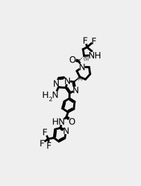 Nc1nccn2c([C@@H]3CCCN(C(=O)[C@@H]4CC(F)(F)CN4)C3)nc(-c3ccc(C(=O)Nc4cc(C(F)(F)F)ccn4)cc3)c12